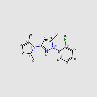 CC1=CCC(C)N1c1cc(C)n(-c2ccccc2F)n1